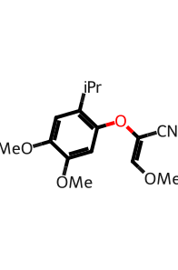 COC=C(C#N)Oc1cc(OC)c(OC)cc1C(C)C